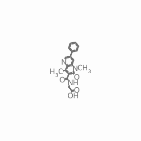 Cc1c(C(=O)NCC(=O)O)c(=O)n(C)c2cc(-c3ccccc3)cnc12